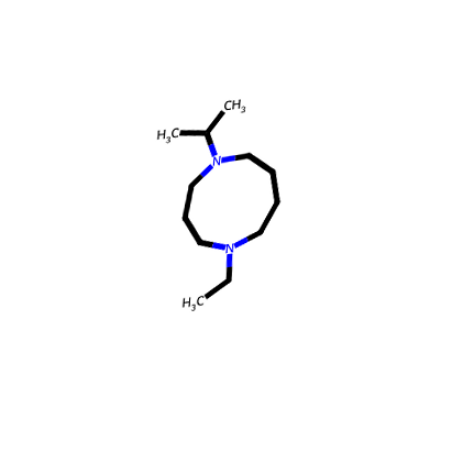 CCN1CCCCN(C(C)C)CCC1